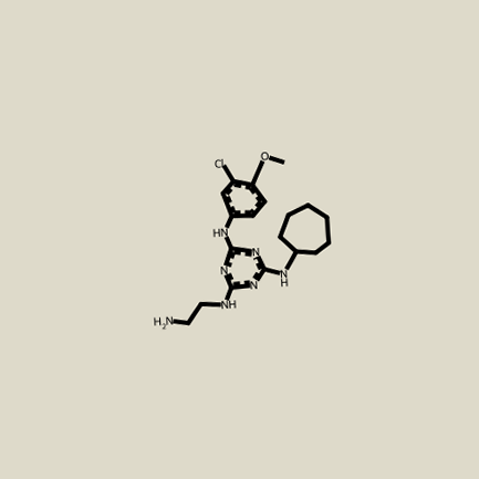 COc1ccc(Nc2nc(NCCN)nc(NC3CCCCCC3)n2)cc1Cl